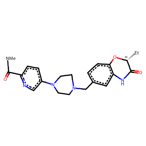 CC[C@H]1Oc2ccc(CN3CCN(c4ccc(C(=O)NC)nc4)CC3)cc2NC1=O